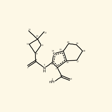 C=C(CCC)c1c(NC(=C)C2CC(C)(C)C2)sc2c1CCCC2